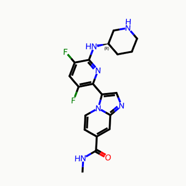 CNC(=O)c1ccn2c(-c3nc(N[C@@H]4CCCNC4)c(F)cc3F)cnc2c1